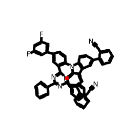 N#Cc1ccccc1-c1ccc2c(c1)c1cc(-c3ccccc3C#N)ccc1n2-c1ccc(-c2cc(F)cc(F)c2)cc1-c1nc(-c2ccccc2)nc(-c2ccccc2)n1